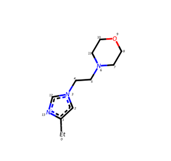 CCc1cn(CCN2CCOCC2)cn1